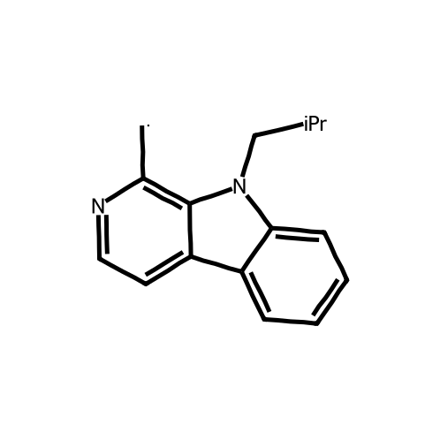 [CH2]c1nccc2c3ccccc3n(CC(C)C)c12